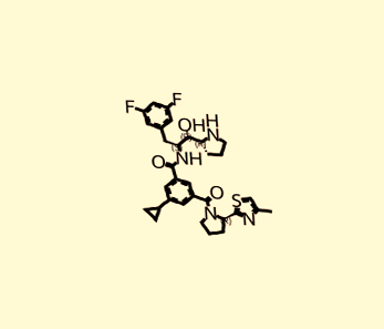 Cc1csc([C@H]2CCCN2C(=O)c2cc(C(=O)N[C@@H](Cc3cc(F)cc(F)c3)[C@H](O)[C@H]3CCCN3)cc(C3CC3)c2)n1